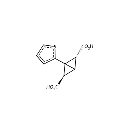 O=C(O)[C@@H]1C2[C@@H](C(=O)O)C21c1cccs1